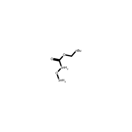 CCCCCO[C](=O)[SnH2][O][SnH3]